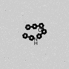 c1ccc(-c2ccc(Nc3ccc(-c4cccc5c4oc4c(-c6ccc(-c7ccccc7)cc6)cccc45)cc3)cc2)cc1